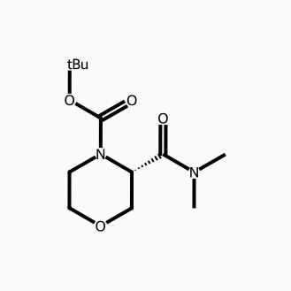 CN(C)C(=O)[C@@H]1COCCN1C(=O)OC(C)(C)C